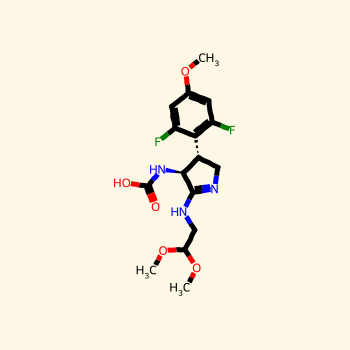 COc1cc(F)c([C@@H]2CN=C(NCC(OC)OC)[C@H]2NC(=O)O)c(F)c1